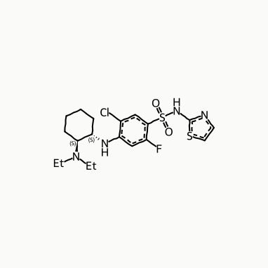 CCN(CC)[C@H]1CCCC[C@@H]1Nc1cc(F)c(S(=O)(=O)Nc2nccs2)cc1Cl